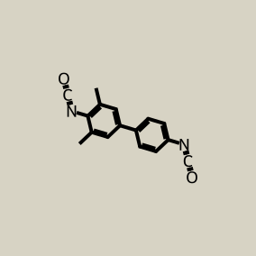 Cc1cc(-c2ccc(N=C=O)cc2)cc(C)c1N=C=O